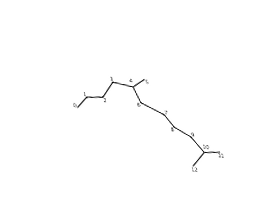 CCCCC(C)CCCCC(C)C